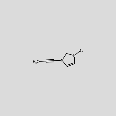 CC#CN1C=CN(CC)C1